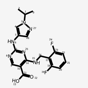 CC(C)n1cc(Nc2ncc(C(=O)O)c(NCc3c(F)cccc3F)n2)cn1